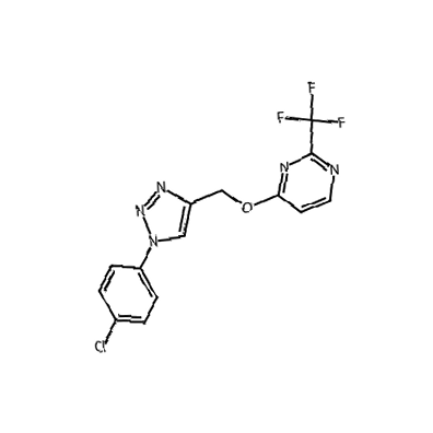 FC(F)(F)c1nccc(OCc2cn(-c3ccc(Cl)cc3)nn2)n1